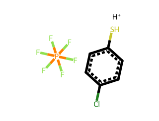 F[P-](F)(F)(F)(F)F.Sc1ccc(Cl)cc1.[H+]